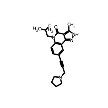 Cc1[nH]nc2c1c(=O)n(CC(C)C)c1ccc(C#CCN3CCCC3)cc21